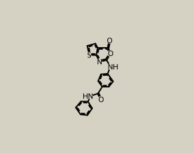 O=C(Nc1ccccc1)c1ccc(Nc2nc3sccc3c(=O)o2)cc1